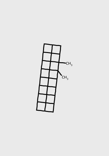 CC12C3CC4CC5C6C7C8C9C%10C%11CC%12CC%13C%14C%15C%16C1(C)C7(C8%16C9%15C%10%14C%12%11%13)C62C453